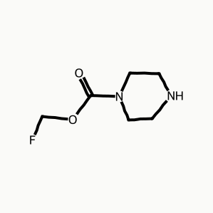 O=C(OCF)N1CCNCC1